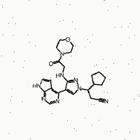 N#CCC(C1CCCC1)n1cc(-c2ncnc3[nH]ccc23)c(NCC(=O)N2CCOCC2)n1